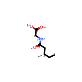 CC[C@H](C)CC(=O)NCC(=O)O